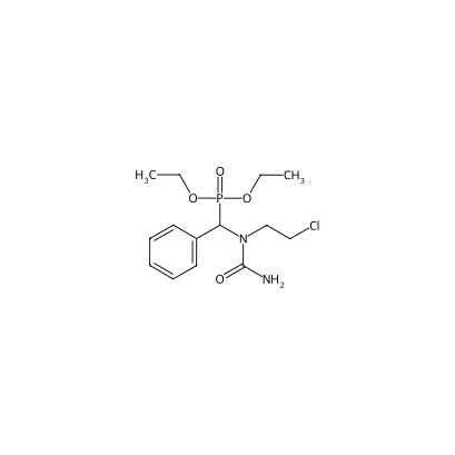 CCOP(=O)(OCC)C(c1ccccc1)N(CCCl)C(N)=O